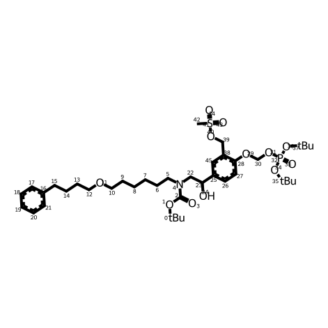 CC(C)(C)OC(=O)N(CCCCCCOCCCCc1ccccc1)CC(O)c1ccc(OCOP(=O)(OC(C)(C)C)OC(C)(C)C)c(COS(C)(=O)=O)c1